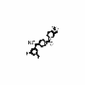 N#CC(=C1CCN(C(=O)N2CCc3nocc3C2)CC1)c1cc(F)cc(F)c1